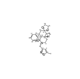 Cc1cc(CN2CC[C@H]3[C@H](C)C4(CCC3(c3ccccc3)C2=O)OCCO4)no1